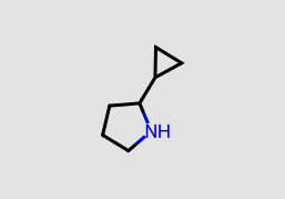 C1CNC(C2CC2)C1